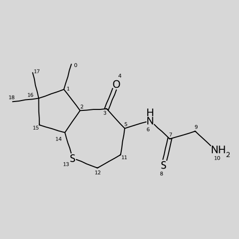 CC1C2C(=O)C(NC(=S)CN)CCSC2CC1(C)C